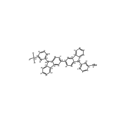 CC(C)(C)c1ccnc(-n2c3ccccc3c3cc(-c4ccc5c(c4)c4ccccc4n5-c4nccc(S(C)(C)C)n4)ccc32)n1